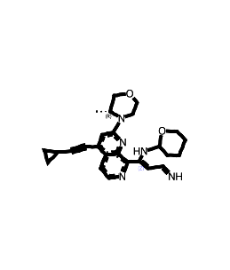 C[C@@H]1COCCN1c1cc(C#CC2CC2)c2ccnc(/C(=C/C=N)NC3CCCCO3)c2n1